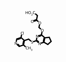 Cc1cncc(Cl)c1CSc1nc2c(c(OCOC(=O)CC(=O)O)n1)CCC2